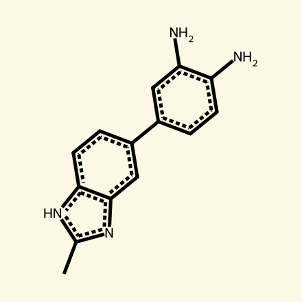 Cc1nc2cc(-c3ccc(N)c(N)c3)ccc2[nH]1